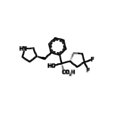 O=C(O)[C@](O)(c1ccccc1C[C@H]1CCNC1)[C@@H]1CCC(F)(F)C1